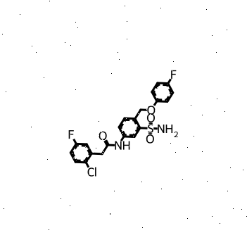 NS(=O)(=O)c1cc(NC(=O)Cc2cc(F)ccc2Cl)ccc1COc1ccc(F)cc1